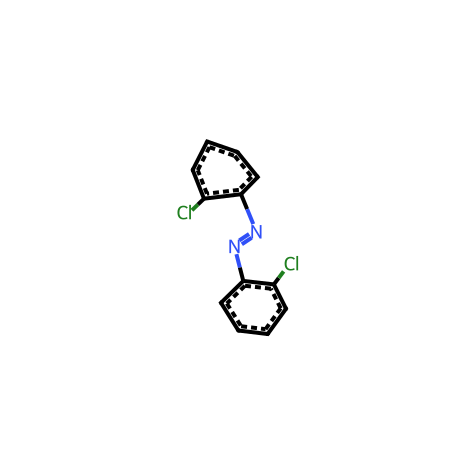 Clc1ccccc1N=Nc1ccccc1Cl